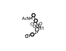 CCN1C(=O)N(c2ccc(-c3ccccc3NC(C)=O)cc2Cl)C(=O)C12CCN(Cc1ccc(N3CCCC3)cc1)CC2